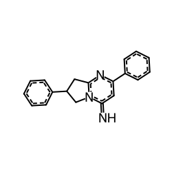 N=c1cc(-c2ccccc2)nc2n1CC(c1ccccc1)C2